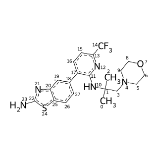 CC(C)(CN1CCOCC1)Nc1nc(C(F)(F)F)ccc1-c1[c]c2nc(N)sc2cc1